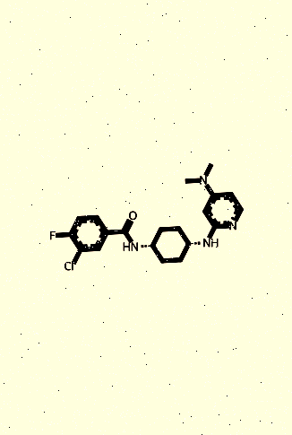 CN(C)c1ccnc(N[C@H]2CC[C@@H](NC(=O)c3ccc(F)c(Cl)c3)CC2)c1